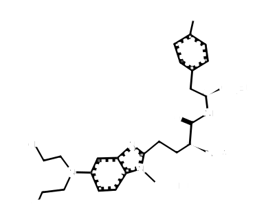 CCOC(=O)[C@H](Cc1ccc(F)cc1)NC(=O)[C@H](CCc1nc2cc(N(CCCl)CCCl)ccc2n1C)NC(C)=O.Cl